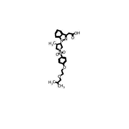 CC(C)COCCOc1ccc(S(=O)(=O)N2C[C@@H](C)[C@@H](n3nc(CC(=O)O)c4ccccc43)C2)cc1